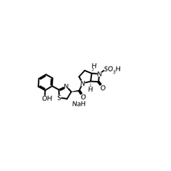 O=C([C@H]1CSC(c2ccccc2O)=N1)N1CC[C@@H]2[C@H]1C(=O)N2S(=O)(=O)O.[NaH]